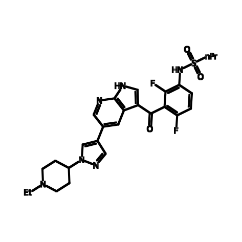 CCCS(=O)(=O)Nc1ccc(F)c(C(=O)c2c[nH]c3ncc(-c4cnn(C5CCN(CC)CC5)c4)cc23)c1F